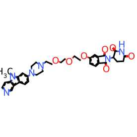 Cn1c2ccncc2c2ccc(N3CCN(CCOCCOCCOc4ccc5c(c4)C(=O)N(C4CCC(=O)NC4=O)C5=O)CC3)cc21